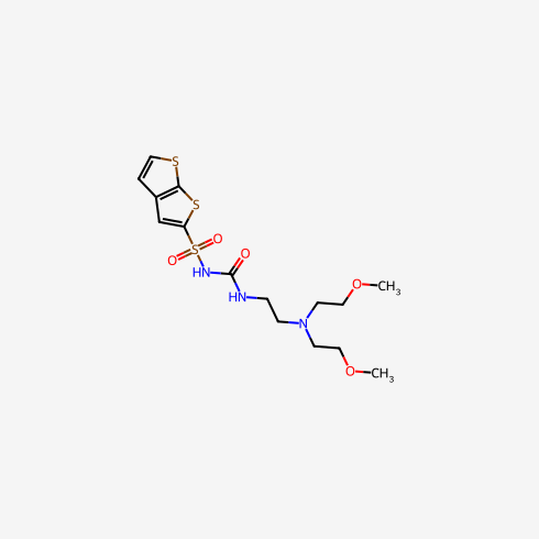 COCCN(CCNC(=O)NS(=O)(=O)c1cc2ccsc2s1)CCOC